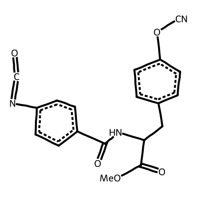 COC(=O)C(Cc1ccc(OC#N)cc1)NC(=O)c1ccc(N=C=O)cc1